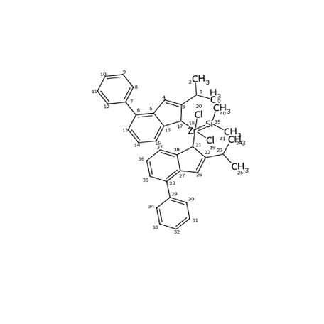 CC(C)C1=Cc2c(-c3ccccc3)cccc2[CH]1[Zr]([Cl])([Cl])([CH]1C(C(C)C)=Cc2c(-c3ccccc3)cccc21)=[Si](C)C